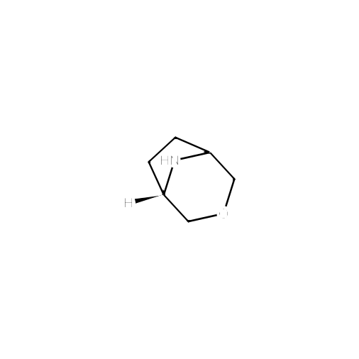 C1C[C@H]2COCC1N2